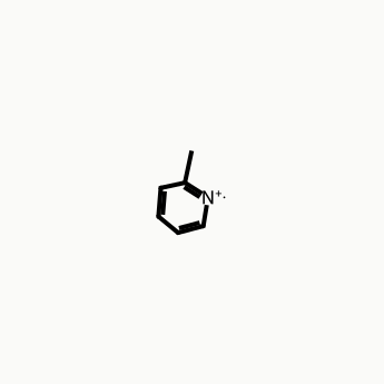 CC1=[N+]C=CC=C1